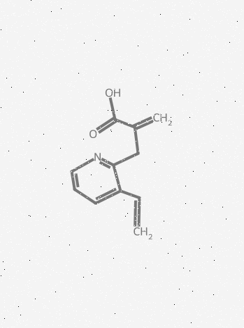 C=Cc1cccnc1CC(=C)C(=O)O